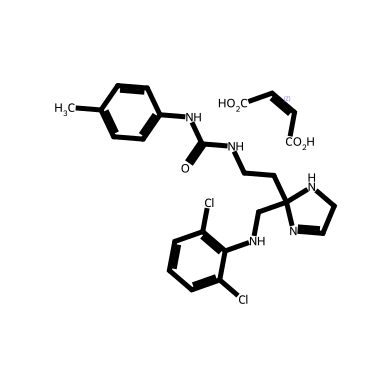 Cc1ccc(NC(=O)NCCC2(CNc3c(Cl)cccc3Cl)N=CCN2)cc1.O=C(O)/C=C\C(=O)O